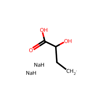 [CH2]CC(O)C(=O)O.[NaH].[NaH]